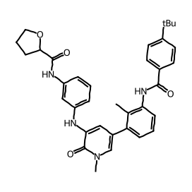 Cc1c(NC(=O)c2ccc(C(C)(C)C)cc2)cccc1-c1cc(Nc2cccc(NC(=O)C3CCCO3)c2)c(=O)n(C)c1